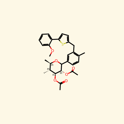 COc1ccccc1-c1ccc(Cc2cc(C3O[C@H](C)[C@@H](C)[C@H](OC(C)=O)[C@H]3OC(C)=O)ccc2C)s1